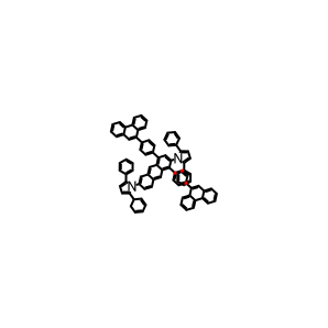 C1=CCC(c2ccc(-c3ccccc3)n2-c2ccc3cc4c(-c5ccc(-c6cc7ccccc7c7ccccc67)cc5)c(-n5c(-c6ccccc6)ccc5-c5ccccc5)cc(-c5ccc(-c6cc7ccccc7c7ccccc67)cc5)c4cc3c2)C=C1